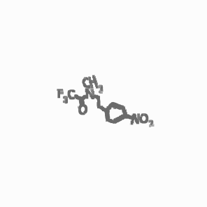 CN(CCc1ccc([N+](=O)[O-])cc1)C(=O)C(F)(F)F